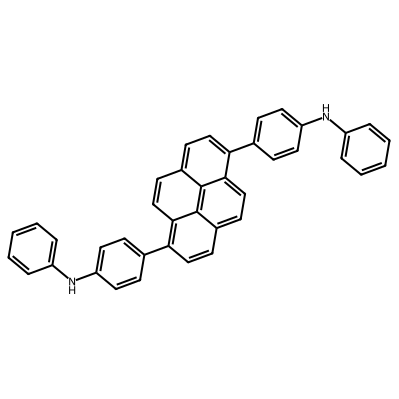 c1ccc(Nc2ccc(-c3ccc4ccc5c(-c6ccc(Nc7ccccc7)cc6)ccc6ccc3c4c65)cc2)cc1